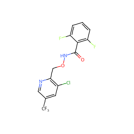 O=C(NOCc1ncc(C(F)(F)F)cc1Cl)c1c(F)cccc1F